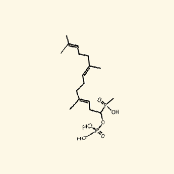 CC(C)=CCCC(C)=CCCC(C)=CCC(OP(=O)(O)O)P(C)(=O)O